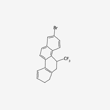 FC(F)(F)C1CC2=C(C=CCC2)c2ccc3cc(Br)ccc3c21